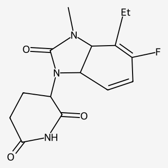 CCC1=C(F)C=CC2C1N(C)C(=O)N2C1CCC(=O)NC1=O